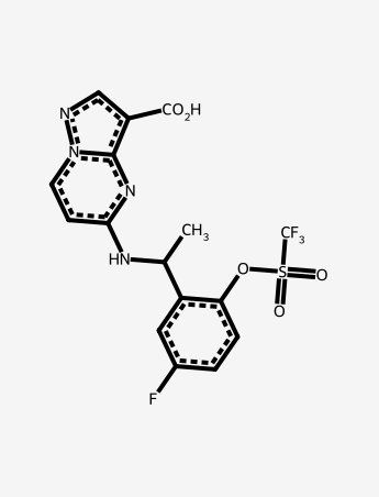 CC(Nc1ccn2ncc(C(=O)O)c2n1)c1cc(F)ccc1OS(=O)(=O)C(F)(F)F